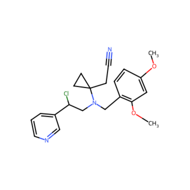 COc1ccc(CN(CC(Cl)c2cccnc2)C2(CC#N)CC2)c(OC)c1